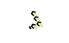 C#C.c1ccsc1.c1ccsc1.c1ccsc1.c1ccsc1